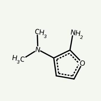 CN(C)c1ccoc1N